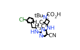 CC1(C)[C@@H](Nc2nc(NCCc3cccc(Cl)c3)ncc2C#N)C[C@@H]1N(C(=O)O)C(C)(C)C